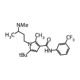 CNC(C)CCn1c(C(C)(C)C)cc(C(=O)Nc2cccc(C(F)(F)F)c2)c1C